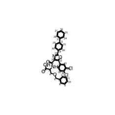 O=C(NC(COCc1ccccc1)C(=O)O)c1nc(-c2ccc(-c3ccccc3)cc2)oc1-c1ccc(Cl)c(Cl)c1